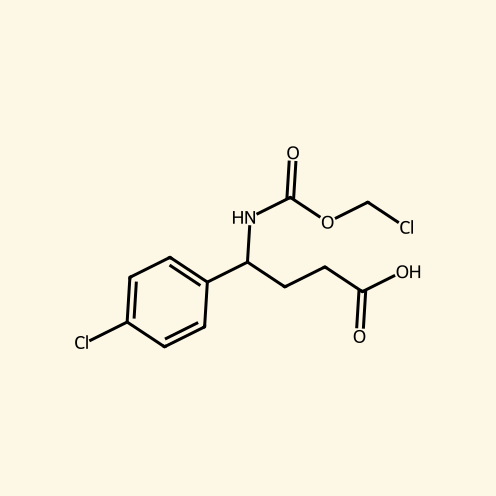 O=C(O)CCC(NC(=O)OCCl)c1ccc(Cl)cc1